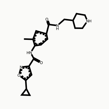 Cc1cc(C(=O)NCC2CCNCC2)ccc1NC(=O)c1cc(C2CC2)on1